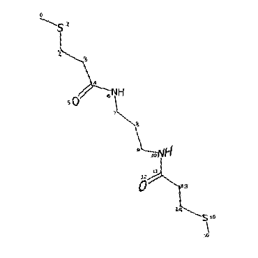 CSCCC(=O)NCCCNC(=O)CCSC